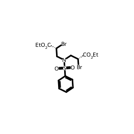 CCOC(=O)[C@H](Br)CN(C[C@@H](Br)C(=O)OCC)S(=O)(=O)c1ccccc1